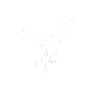 O=C(OC1C[C@@H](n2cc(F)c(=O)[nH]c2=O)O[C@H]1COCc1ccccc1)c1ccc(Cl)cc1